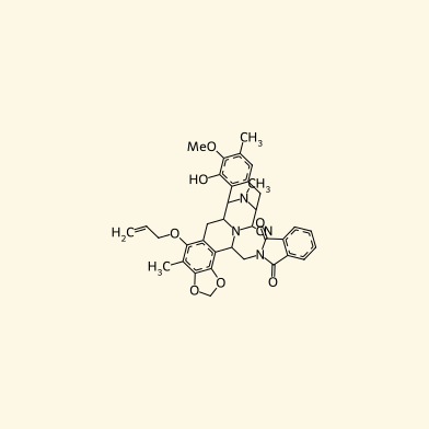 C=CCOc1c(C)c2c(c3c1CC1C4c5c(cc(C)c(OC)c5O)CC(C(C#N)N1C3CN1C(=O)c3ccccc3C1=O)N4C)OCO2